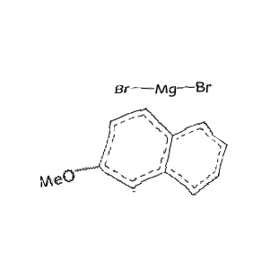 COc1[c]c2ccccc2cc1.[Br][Mg][Br]